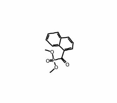 COP(=O)(OC)C(=O)c1cccc2ccccc12